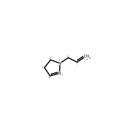 C=CCN1CCC=N1